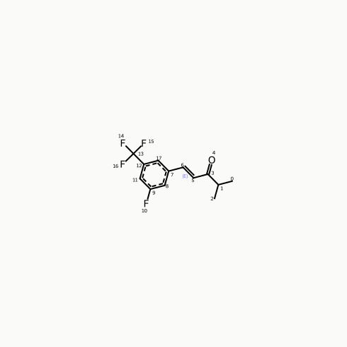 CC(C)C(=O)/C=C/c1cc(F)cc(C(F)(F)F)c1